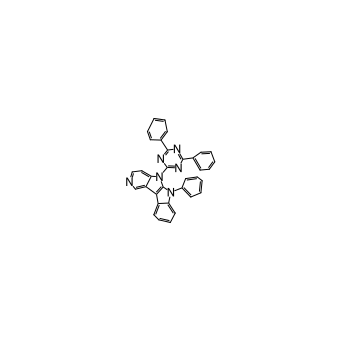 c1ccc(-c2nc(-c3ccccc3)nc(-n3c4ccncc4c4c5ccccc5n(-c5ccccc5)c43)n2)cc1